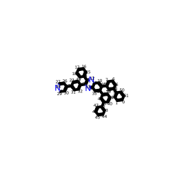 c1ccc(-c2cccc(-c3cc4nc(-c5ccccc5)c(-c5ccc(-c6ccncc6)cc5)nc4cc3-c3cccc(-c4ccccc4)c3)c2)cc1